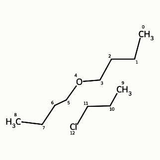 CCCCOCCCC.CCCCl